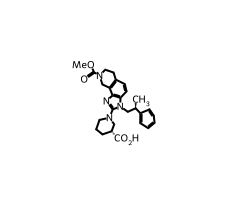 COC(=O)N1CCc2ccc3c(nc(N4CCC[C@@H](C(=O)O)C4)n3C[C@@H](C)c3ccccc3)c2C1